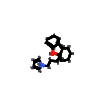 c1ccc2c(c1)OC1(CCCn3cccc3)CCCCC21